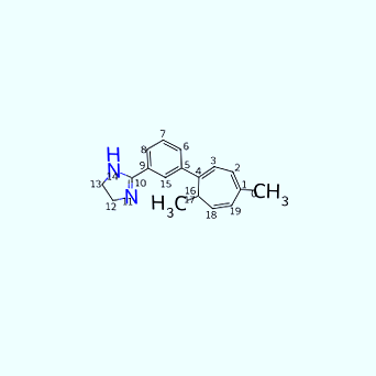 CC1=CC=C(c2cccc(C3=NCCN3)c2)C(C)C=C1